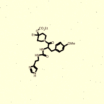 CCOC(=O)OC1(CC)CCN(C(=O)C(Cc2ccc(OC)cc2)NC(=O)NCCc2c[nH]cn2)CC1